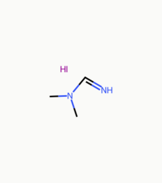 CN(C)C=N.I